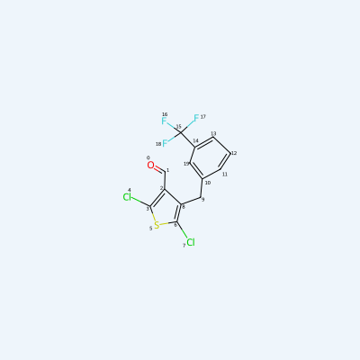 O=Cc1c(Cl)sc(Cl)c1Cc1cccc(C(F)(F)F)c1